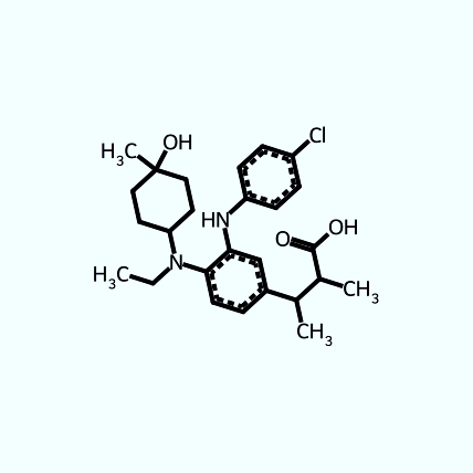 CCN(c1ccc(C(C)C(C)C(=O)O)cc1Nc1ccc(Cl)cc1)C1CCC(C)(O)CC1